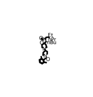 CCCC[C@@H]1N(CC(CC)CCC)C(=O)OC12CCN(C1CCN(C(=O)c3c(C)cccc3C)CC1)CC2